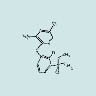 CN=S(C)(=O)c1cccc(Sc2ncc(Cl)nc2N)c1Cl